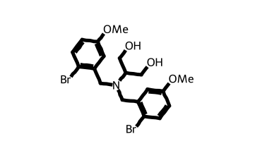 COc1ccc(Br)c(CN(Cc2cc(OC)ccc2Br)C(CO)CO)c1